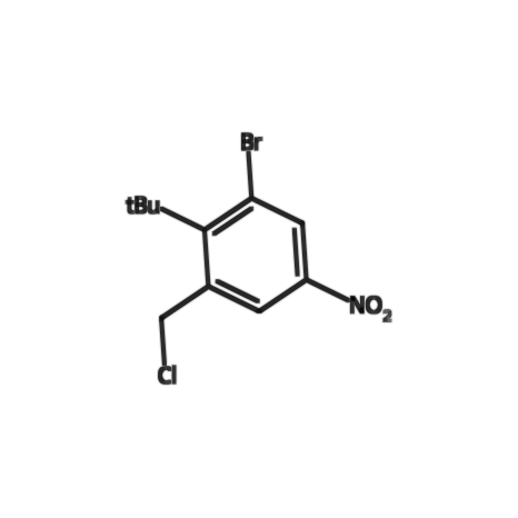 CC(C)(C)c1c(Br)cc([N+](=O)[O-])cc1CCl